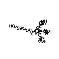 O=C(NCCOCCOCCOCCO)c1cc(OCCCS(=O)(=O)O)c(OCCCS(=O)(=O)O)c(OCCCS(=O)(=O)O)c1